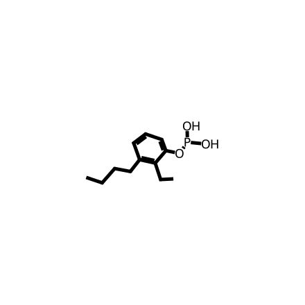 CCCCc1cccc(OP(O)O)c1CC